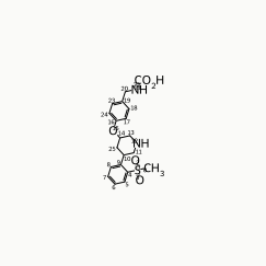 CS(=O)(=O)c1ccccc1C1CNCC(Oc2ccc(CNC(=O)O)cc2)C1